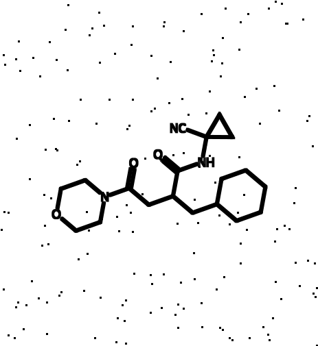 N#CC1(NC(=O)C(CC(=O)N2CCOCC2)CC2CCCCC2)CC1